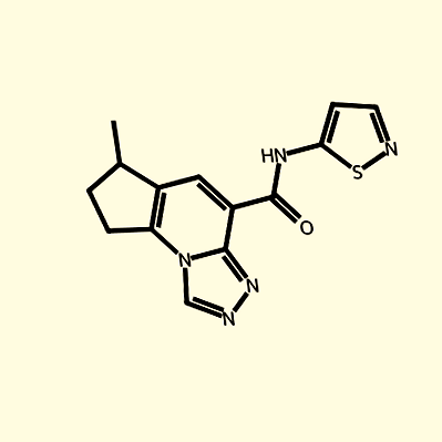 CC1CCc2c1cc(C(=O)Nc1ccns1)c1nncn21